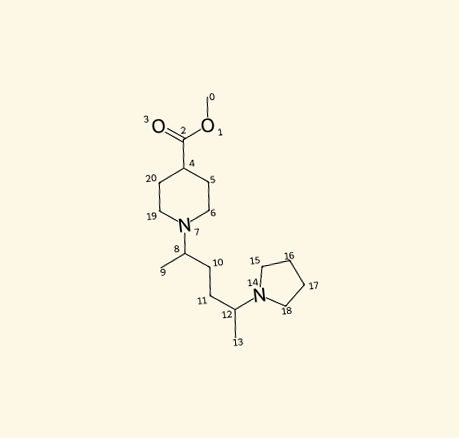 COC(=O)C1CCN(C(C)CCC(C)N2CCCC2)CC1